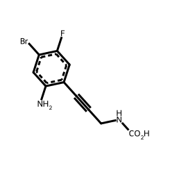 Nc1cc(Br)c(F)cc1C#CCNC(=O)O